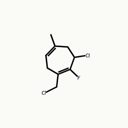 CC1=CCC(CCl)=C(F)C(Cl)C1